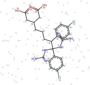 N=C(N)NC(NC(=N)N)(c1ccc(Cl)cc1)C(CCCC(CC(=O)O)CC(=O)O)c1ccc(Cl)cc1